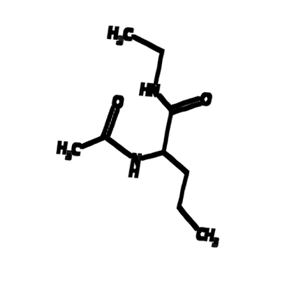 CCCC(NC(C)=O)C(=O)NCC